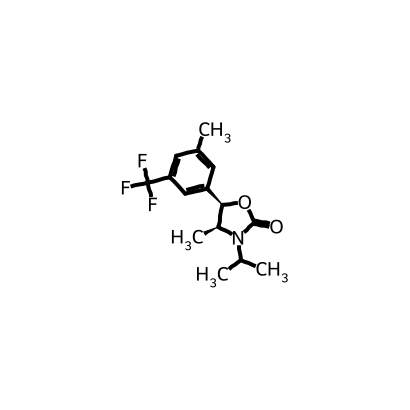 Cc1cc([C@H]2OC(=O)N(C(C)C)[C@H]2C)cc(C(F)(F)F)c1